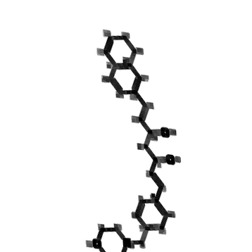 O=C(/C=C/c1ccc(CN2CCOCC2)cc1)CC(=O)/C=C/c1ccc2c(c1)CCC=C2